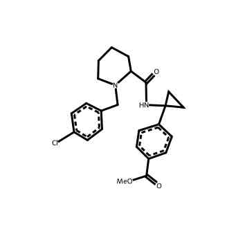 COC(=O)c1ccc(C2(NC(=O)C3CCCCN3Cc3ccc(Cl)cc3)CC2)cc1